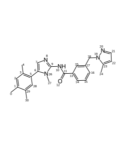 Cc1cc(C)c(-c2cnc(NC(=O)c3cccc(Cn4nccc4C)c3)n2C)cc1C